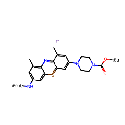 CCCC(C)Nc1cc(C)c2nc3c(C)cc(N4CCN(C(=O)OC(C)(C)C)CC4)cc3[s+]c2c1.[I-]